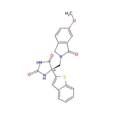 COc1ccc2c(c1)C(=O)N(C[C@@]1(c3cc4ccccc4s3)NC(=O)NC1=O)C2